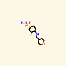 NS(=O)(=O)c1ccc(NCC2CCOCC2)c(F)c1